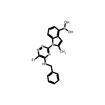 CCc1nnc(-n2c(C)cc3c(B(O)O)cccc32)nc1NCc1ccccc1